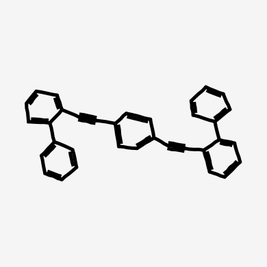 C(#Cc1ccccc1-c1ccccc1)c1ccc(C#Cc2ccccc2-c2ccccc2)cc1